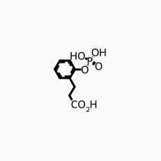 O=C(O)CCc1ccccc1OP(=O)(O)O